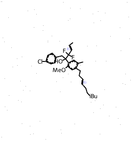 C/C=C/C(F)(F)C(O)(Cc1ccc(Cl)cc1)c1cc(C)c(CC/C=C/CCC(C)CC)cc1OC